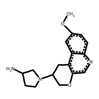 COc1ccc2ncc3c(c2c1)CC(N1CCC(N)C1)CO3